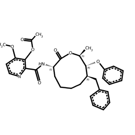 COc1ccnc(C(=O)N[C@H]2CCCC[C@H](Cc3ccccc3)[C@@H](Oc3ccccc3)[C@H](C)OC2=O)c1OC(C)=O